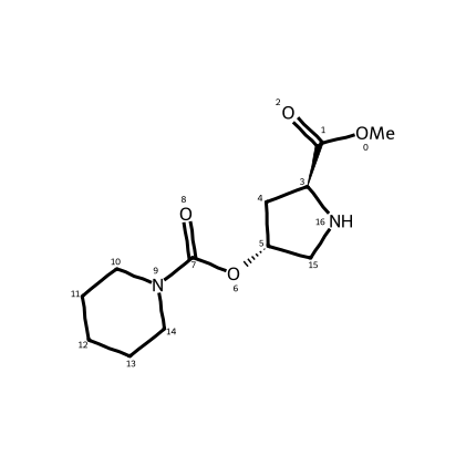 COC(=O)[C@@H]1C[C@@H](OC(=O)N2CCCCC2)CN1